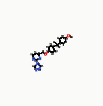 COc1ccc(C(C)(C)c2ccc(OCc3ccnc(-n4cnnc4)n3)cc2)cc1